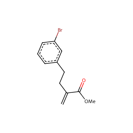 C=C(CCc1cccc(Br)c1)C(=O)OC